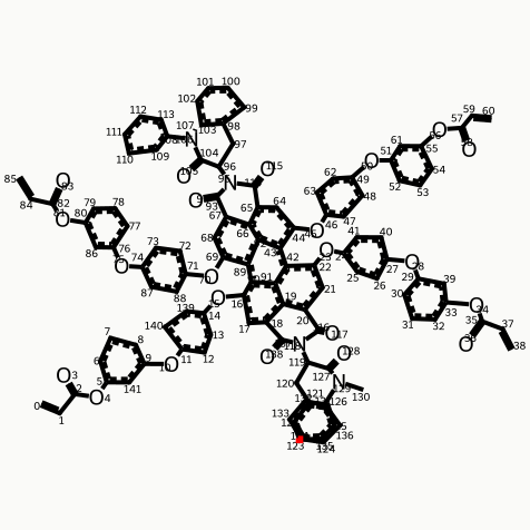 C=CC(=O)Oc1cccc(Oc2ccc(Oc3cc4c5c(cc(Oc6ccc(Oc7cccc(OC(=O)C=C)c7)cc6)c6c7c(Oc8ccc(Oc9cccc(OC(=O)C=C)c9)cc8)cc8c9c(cc(Oc%10ccc(Oc%11cccc(OC(=O)C=C)c%11)cc%10)c(c3c56)c97)C(=O)N(C(Cc3ccccc3)C(=O)N(C)c3ccccc3)C8=O)C(=O)N(C(Cc3ccccc3)C(=O)N(C)c3ccccc3)C4=O)cc2)c1